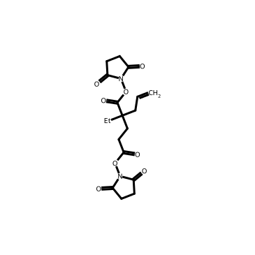 C=CCC(CC)(CCC(=O)ON1C(=O)CCC1=O)C(=O)ON1C(=O)CCC1=O